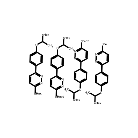 CCCCCCC(C)Oc1ccc(-c2ccc(CCCC)nn2)cc1.CCCCCCC(C)Oc1ccc(-c2ccc(CCCCC)nn2)cc1.CCCCCCCc1ccc(-c2ccc(OC(C)CCCCCC)cc2)nn1.CCCCCCc1ccc(-c2ccc(OC(C)CCCCCC)cc2)nn1